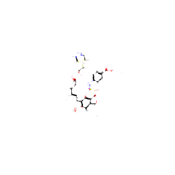 COC(=O)c1ccc(NC(=S)Oc2c(C/C=C(\C)CCC(=O)OCCS3=CC=NC=C3)c(OC)c(C)c3c2C(=O)OC3)cc1